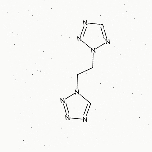 c1nnn(CCn2cnnn2)n1